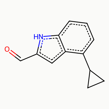 O=Cc1cc2c(C3CC3)cccc2[nH]1